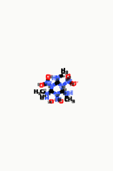 CNC1N([N+](=O)[O-])C(NC)N([N+](=O)[O-])C(NC)N1[N+](=O)[O-].[H+]